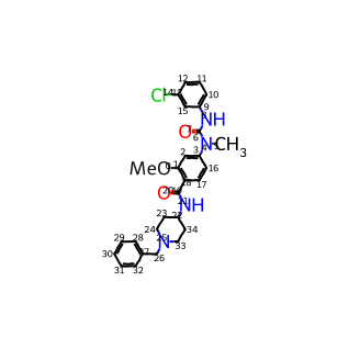 COc1cc(N(C)C(=O)Nc2cccc(Cl)c2)ccc1C(=O)NC1CCN(Cc2ccccc2)CC1